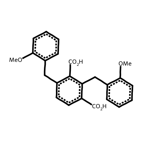 COc1ccccc1Cc1ccc(C(=O)O)c(Cc2ccccc2OC)c1C(=O)O